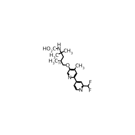 Cc1cc(-c2ccnc(C(F)F)c2)ncc1OC[C@@H](C)CC(C)(C)NC(=O)O